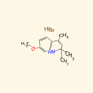 Br.COc1ccc2c(c1)NC(C)(C)C=C2C